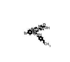 CCCc1ccc(CNC(=O)[C@H]2CN(c3cnc(C(=O)O)cn3)CCN2S(=O)(=O)c2ccc(Br)cc2)cc1